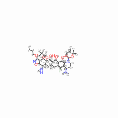 CCCCOc1noc2c1C(=O)[C@@]1(O[Si](C)(C)C(C)(C)C)C(O)=C3C(=O)c4c(c(F)c5c(c4OCCCC)N(C(=O)OC(C)(C)C)CCC5N(C)C)C[C@H]3C[C@H]1[C@@H]2NC